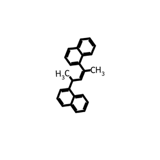 CC(=CC(C)c1cccc2ccccc12)c1cccc2ccccc12